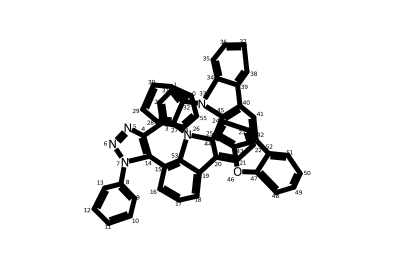 c1ccc(-c2nnn(-c3ccccc3)c2-c2cccc3c4ccccc4n(-c4ccccc4-n4c5ccccc5c5cc6c(cc54)oc4ccccc46)c23)cc1